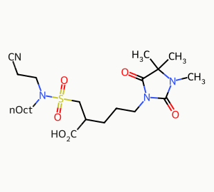 CCCCCCCCN(CCC#N)S(=O)(=O)CC(CCCN1C(=O)N(C)C(C)(C)C1=O)C(=O)O